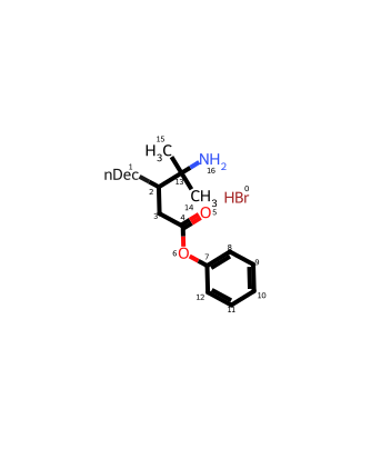 Br.CCCCCCCCCCC(CC(=O)Oc1ccccc1)C(C)(C)N